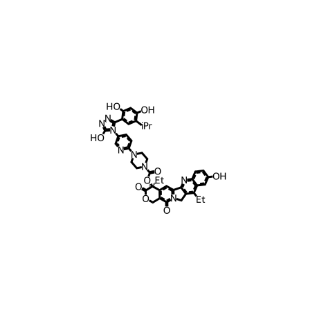 CCc1c2c(nc3ccc(O)cc13)-c1cc3c(c(=O)n1C2)COC(=O)[C@@]3(CC)OC(=O)N1CCN(c2ccc(-n3c(O)nnc3-c3cc(C(C)C)c(O)cc3O)cn2)CC1